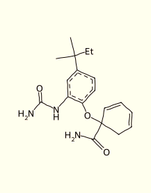 CCC(C)(C)c1ccc(OC2(C(N)=O)C=CC=CC2)c(NC(N)=O)c1